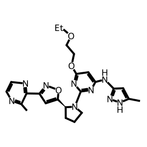 CCOCCOc1cc(Nc2cc(C)[nH]n2)nc(N2CCC[C@H]2c2cc(-c3nccnc3C)no2)n1